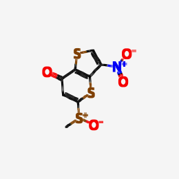 C[S+]([O-])c1cc(=O)c2scc([N+](=O)[O-])c2s1